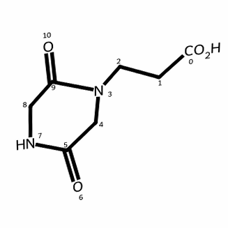 O=C(O)CCN1CC(=O)NCC1=O